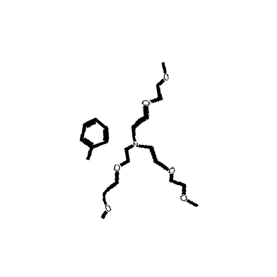 COCCOCCN(CCOCCOC)CCOCCOC.Cc1ccccc1